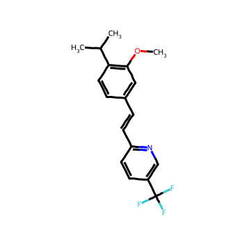 COc1cc(/C=C/c2ccc(C(F)(F)F)cn2)ccc1C(C)C